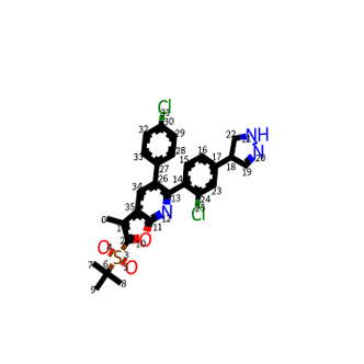 Cc1c(S(=O)(=O)C(C)(C)C)oc2nc(-c3ccc(C4C=NNC4)cc3Cl)c(-c3ccc(Cl)cc3)cc12